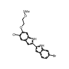 CSOCCOc1cc2[nH]c(-c3cc4ccc(Br)cc4[nH]3)cc2cc1Cl